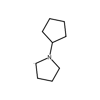 [CH]1CCCN1C1CCCC1